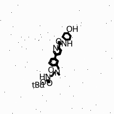 CN(Cc1cccc(-c2ccc(C(=O)N[C@H]3CC[C@H](O)CC3)nc2)c1)C(=O)CNC(=O)OC(C)(C)C